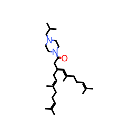 CC(C)=CCC/C(C)=C/CC(/C=C(\C)CCC=C(C)C)CC(=O)N1CCN(CC(C)C)CC1